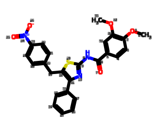 COc1ccc(C(=O)Nc2nc(-c3ccccc3)c(Cc3ccc([N+](=O)[O-])cc3)s2)cc1OC